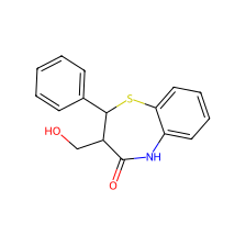 O=C1Nc2ccccc2SC(c2ccccc2)C1CO